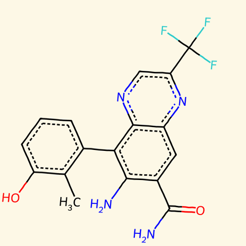 Cc1c(O)cccc1-c1c(N)c(C(N)=O)cc2nc(C(F)(F)F)cnc12